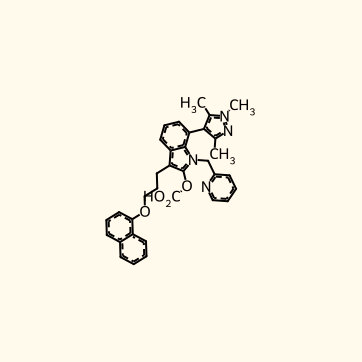 Cc1nn(C)c(C)c1-c1cccc2c(CCCOc3cccc4ccccc34)c(OC(=O)O)n(Cc3ccccn3)c12